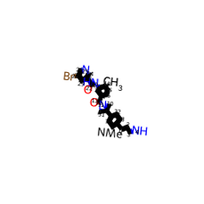 CN/C(=C\C=N)c1ccc(C2CN(C(=O)c3ccc(C)c(NC(=O)c4cncc(Br)c4)c3)C2)cc1